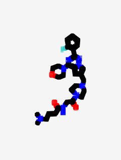 CN(C)C/C=C/C(=O)NCC(=O)N1CCN(Cc2cc3c(N4CCOCC4)nc(-c4ccccc4F)nn3c2)CC1